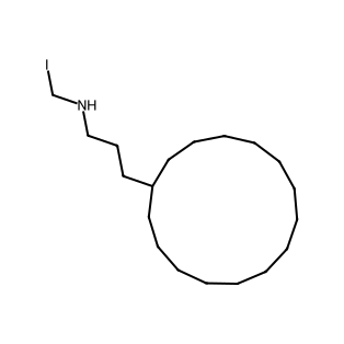 ICNCCCC1CCCCCCCCCCCCCC1